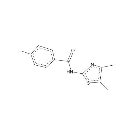 Cc1ccc(C(=O)Nc2nc(C)c(C)s2)cc1